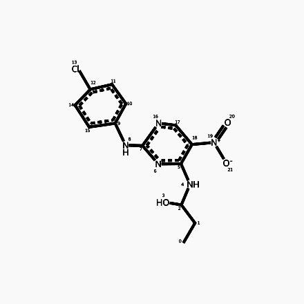 CCC(O)Nc1nc(Nc2ccc(Cl)cc2)ncc1[N+](=O)[O-]